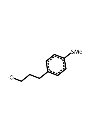 CSc1ccc(CCC[O])cc1